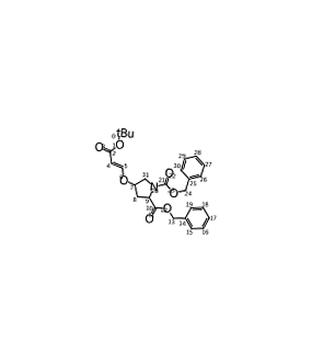 CC(C)(C)OC(=O)C=COC1CC(C(=O)OCc2ccccc2)N(C(=O)OCc2ccccc2)C1